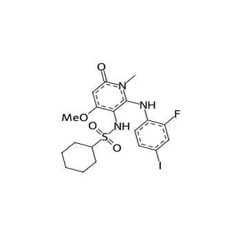 COc1cc(=O)n(C)c(Nc2ccc(I)cc2F)c1NS(=O)(=O)C1CCCCC1